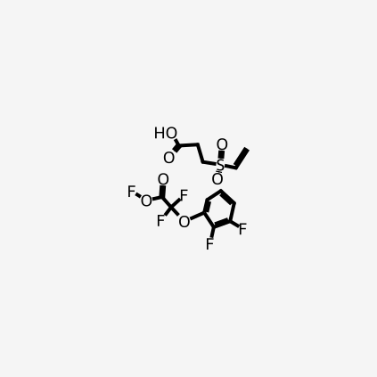 C=CS(=O)(=O)CCC(=O)O.O=C(OF)C(F)(F)Oc1cccc(F)c1F